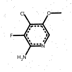 COc1cnc(N)c(F)c1Cl